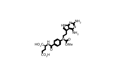 COC(=O)N(CCc1c[nH]c2nc(N)nc(N)c12)c1ccc(C(=O)N[C@@H](CCC(=O)O)C(=O)O)cc1